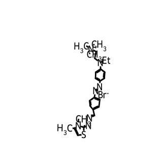 CCN(CC[N+](C)(C)C)c1ccc(N=Nc2ccc(C=NN=c3scc(C)n3C)cc2)cc1.[Br-]